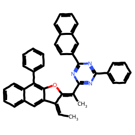 C/C=c1\c(=C(/C)c2nc(-c3ccccc3)nc(-c3ccc4ccccc4c3)n2)oc2c(-c3ccccc3)c3ccccc3cc12